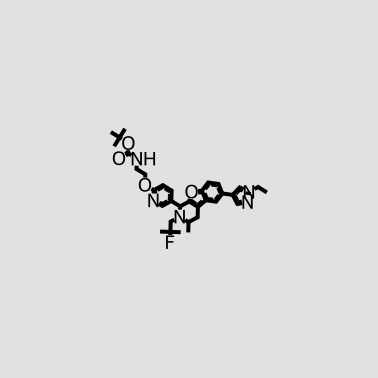 CCn1cc(-c2ccc3oc4c(c3c2)CC(C)N(CC(C)(C)F)C4c2ccc(OCCNC(=O)OC(C)(C)C)nc2)cn1